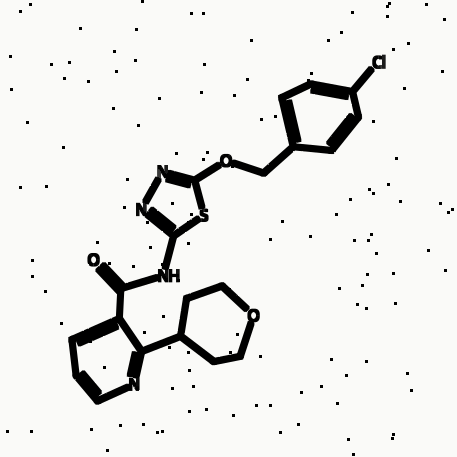 O=C(Nc1nnc(OCc2ccc(Cl)cc2)s1)c1cccnc1C1CCOCC1